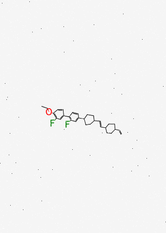 C=CC1CCC(/C=C/C2CCC(c3ccc(-c4ccc(OCC)c(F)c4)c(F)c3)CC2)CC1